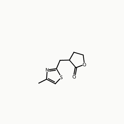 Cc1csc(CC2CCOC2=O)n1